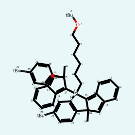 CC(C)(C)OCCCCCC[Si](C)(C1=c2ccccc2=CC1(C)c1ccc(C(C)(C)C)cc1)C1=c2ccccc2=CC1(C)c1ccc(C(C)(C)C)cc1